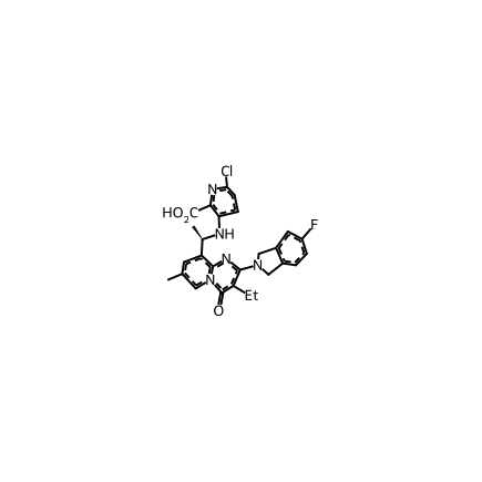 CCc1c(N2Cc3ccc(F)cc3C2)nc2c([C@@H](C)Nc3ccc(Cl)nc3C(=O)O)cc(C)cn2c1=O